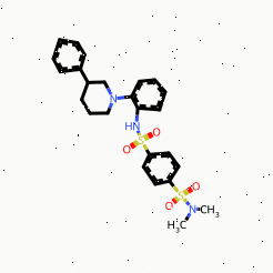 CN(C)S(=O)(=O)c1ccc(S(=O)(=O)Nc2ccccc2N2CCCC(c3ccccc3)C2)cc1